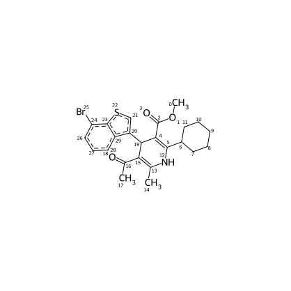 COC(=O)C1=C(C2CCCCC2)NC(C)=C(C(C)=O)C1c1csc2c(Br)cccc12